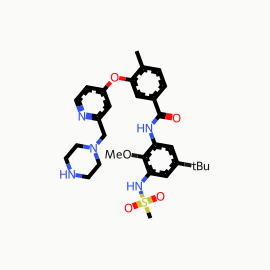 COc1c(NC(=O)c2ccc(C)c(Oc3ccnc(CN4CCNCC4)c3)c2)cc(C(C)(C)C)cc1NS(C)(=O)=O